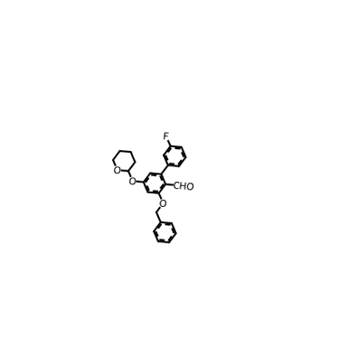 O=Cc1c(OCc2ccccc2)cc(OC2CCCCO2)cc1-c1cccc(F)c1